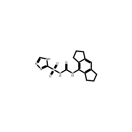 O=C(Nc1c2c(cc3c1CCC3)CCC2)NS(=O)(=O)c1nnc[nH]1